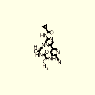 CC(C#N)NC(=O)C(C)Nc1cc(-c2cnc(NC(=O)C3CC3)cn2)cnc1C#N